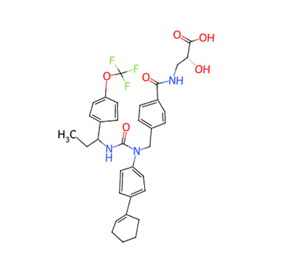 CCC(NC(=O)N(Cc1ccc(C(=O)NC[C@@H](O)C(=O)O)cc1)c1ccc(C2=CCCCC2)cc1)c1ccc(OC(F)(F)F)cc1